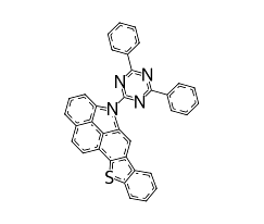 c1ccc(-c2nc(-c3ccccc3)nc(-n3c4cccc5ccc6c7sc8ccccc8c7cc3c6c54)n2)cc1